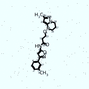 Cc1cccc(-c2cc(NC(=O)CCON3CCCn4nc(C)cc43)on2)c1